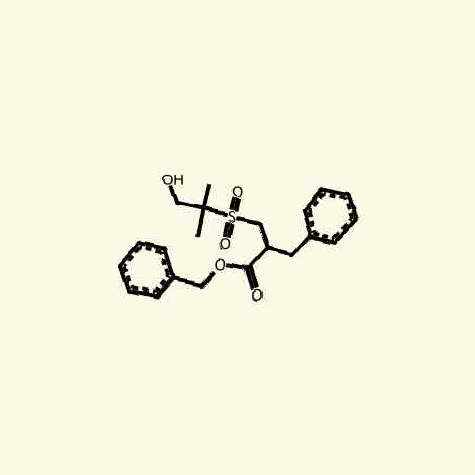 CC(C)(CO)S(=O)(=O)CC(Cc1ccccc1)C(=O)OCc1ccccc1